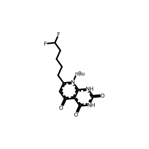 CCCCn1c(CCCCC(F)F)cc(=O)c2c(=O)[nH]c(=O)[nH]c21